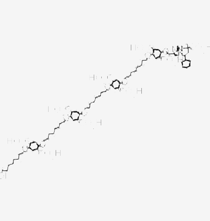 CC(C)(CC(c1ccccc1)n1cc(COc2cc(C(=O)O)c(OCCCCCCCCOc3cc(C(=O)O)c(OCCCCCCCCOc4cc(C(=O)O)c(OCCCCCCCCOc5cc(C(=O)O)c(OCCCCCCCCO)cc5C(=O)O)cc4C(=O)O)cc3C(=O)O)cc2C(=O)O)nn1)C(=O)O